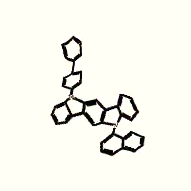 c1ccc(-c2ccc(-n3c4ccccc4c4cc5c(cc43)c3ccccc3n5-c3cccc4ccccc34)cc2)cc1